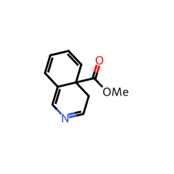 COC(=O)C12C=CC=CC1=CN=CC2